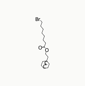 O=C(CCCCCCCBr)OCCC12CCC(CC1)CC2